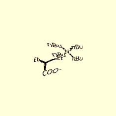 CCC(CC)C(=O)[O-].CCCC[N+](CCCC)(CCCC)CCCC